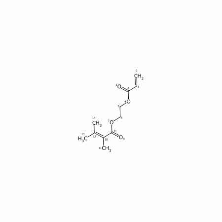 C=CC(=O)OCCOC(=O)C(C)=C(C)C